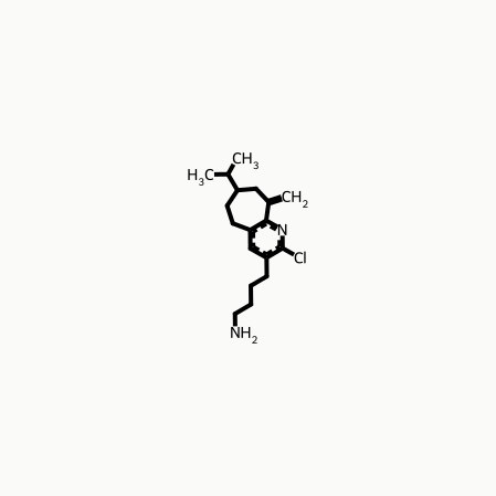 C=C1CC(C(C)C)CCc2cc(CCCCN)c(Cl)nc21